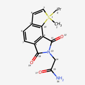 CC(C)S1(C)C=Cc2ccc3c(c21)C(=O)N(CC(N)=O)C3=O